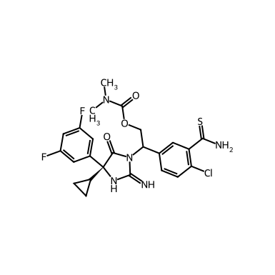 CN(C)C(=O)OCC(c1ccc(Cl)c(C(N)=S)c1)N1C(=N)N[C@@](c2cc(F)cc(F)c2)(C2CC2)C1=O